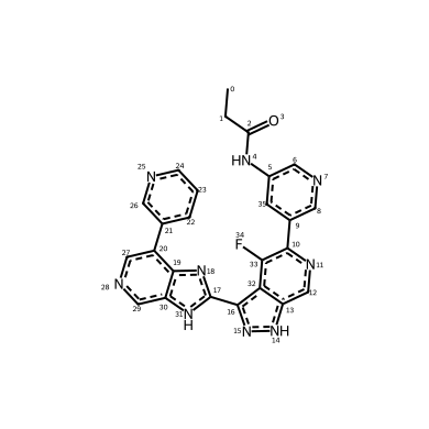 CCC(=O)Nc1cncc(-c2ncc3[nH]nc(-c4nc5c(-c6cccnc6)cncc5[nH]4)c3c2F)c1